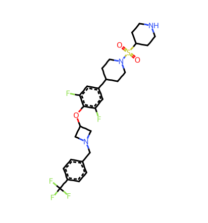 O=S(=O)(C1CCNCC1)N1CCC(c2cc(F)c(OC3CN(Cc4ccc(C(F)(F)F)cc4)C3)c(F)c2)CC1